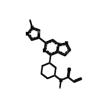 C=CC(=O)N(C)C1CCCC(c2nc(-c3cnn(C)c3)cn3nccc23)C1